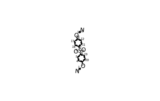 N#COc1ccc(S(=O)(=O)c2ccc(OC#N)cc2)cc1